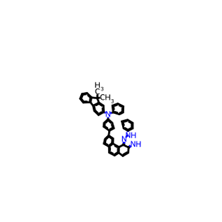 CC1(C)c2ccccc2-c2ccc(N(c3ccccc3)c3ccc(-c4ccc5ccc6c(c5c4)/C(=N/Nc4ccccc4)C(=N)C=C6)cc3)cc21